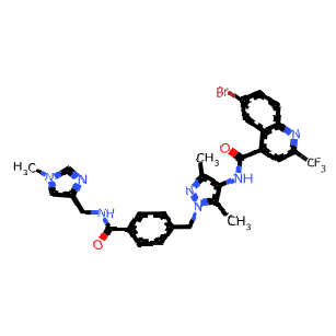 Cc1nn(Cc2ccc(C(=O)NCc3cn(C)cn3)cc2)c(C)c1NC(=O)c1cc(C(F)(F)F)nc2ccc(Br)cc12